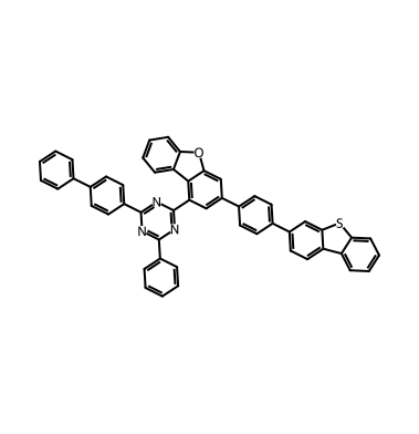 c1ccc(-c2ccc(-c3nc(-c4ccccc4)nc(-c4cc(-c5ccc(-c6ccc7c(c6)sc6ccccc67)cc5)cc5oc6ccccc6c45)n3)cc2)cc1